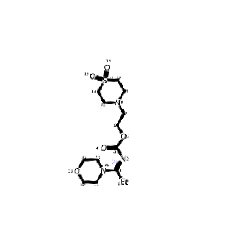 CC/C(=N/C(=O)OCCN1CCS(=O)(=O)CC1)N1CCOCC1